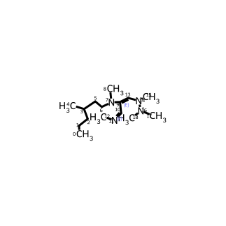 CCCC(C)CCN(C)C(/C=N\C)=C/N(C)N(C)C